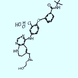 CN(CCO)CC1=Cc2c(ncnc2Nc2ccc(Oc3cccc(C(=O)NC(C)(C)C)c3)c(Cl)c2)NCC1.Cl.Cl